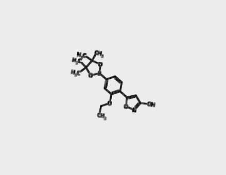 CCOc1cc(B2OC(C)(C)C(C)(C)O2)ccc1-c1cc(O)no1